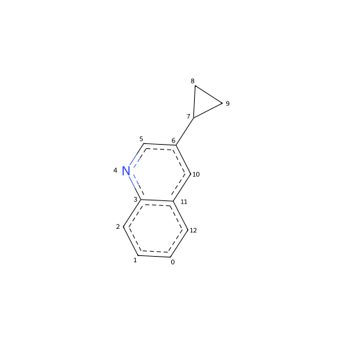 c1ccc2ncc(C3CC3)cc2c1